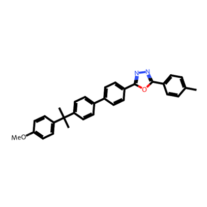 COc1ccc(C(C)(C)c2ccc(-c3ccc(-c4nnc(-c5ccc(C)cc5)o4)cc3)cc2)cc1